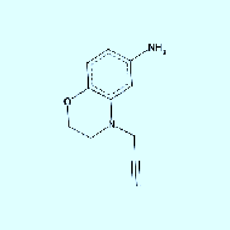 C#CCN1CCOc2ccc(N)cc21